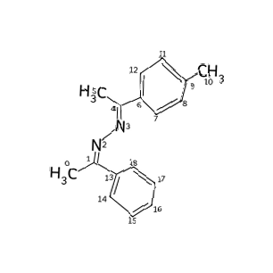 CC(=NN=C(C)c1ccc(C)cc1)c1ccccc1